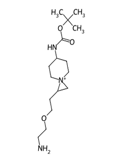 CC(C)(C)OC(=O)NC1CC[N+]2(CC1)CC2CCOCCN